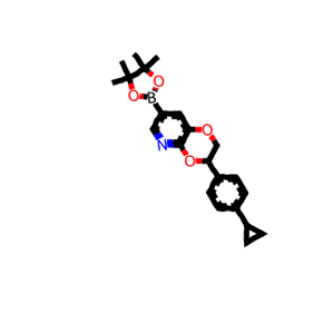 CC1(C)OB(c2cnc3c(c2)OCC(c2ccc(C4CC4)cc2)O3)OC1(C)C